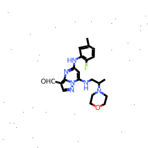 Cc1ccc(F)c(Nc2cc(NCC(C)N3CCOCC3)n3ncc(C=O)c3n2)c1